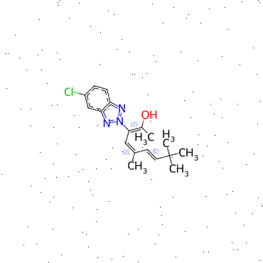 CC(=C/C(=C(\C)O)n1nc2ccc(Cl)cc2n1)/C=C/C(C)(C)C